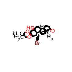 CC1(C)COC2(CC[C@]3(CC#CBr)C4=CC[C@]5(C)C(=O)CC[C@H]5[C@@H]4CC[C@@]3(O)C2)OC1